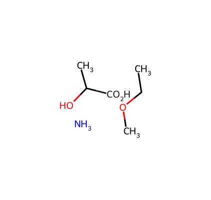 CC(O)C(=O)O.CCOC.N